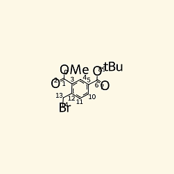 COC(=O)c1cc(C(=O)OC(C)(C)C)ccc1CBr